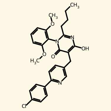 CCCCc1nc(O)c(Cc2ccc(-c3ccc(Cl)cc3)nc2)c(=O)n1-c1c(OC)cccc1OC